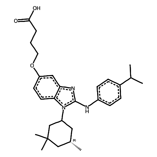 CC(C)c1ccc(Nc2nc3cc(OCCCC(=O)O)ccc3n2C2C[C@H](C)CC(C)(C)C2)cc1